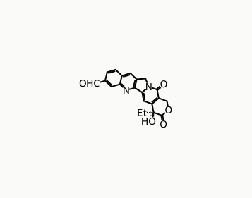 CC[C@@]1(O)C(=O)OCc2c1cc1n(c2=O)Cc2cc3ccc(C=O)cc3nc2-1